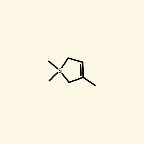 CC1=CC[Si](C)(C)C1